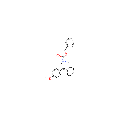 COc1ccc([C@H](CN(C)C(=O)OCc2ccccc2)C2=CCCCC2)cc1